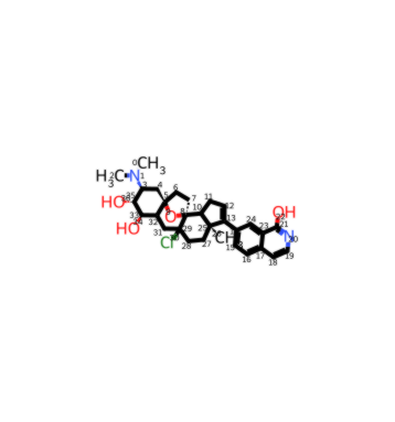 CN(C)[C@H]1C[C@@]23CC[C@]4(O2)C2CC=C(c5ccc6ccnc(O)c6c5)[C@@]2(C)CCC4(Cl)CC3[C@@H](O)[C@@H]1O